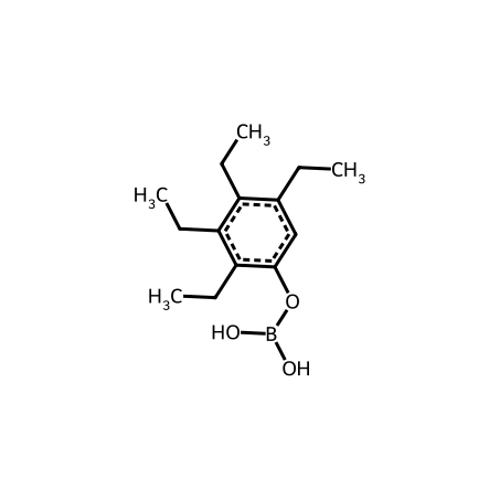 CCc1cc(OB(O)O)c(CC)c(CC)c1CC